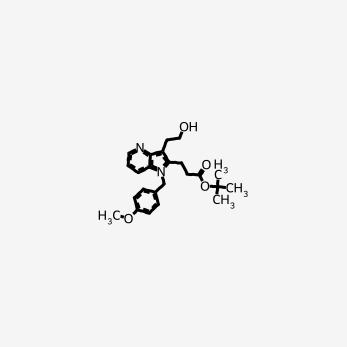 COc1ccc(Cn2c(CCC(=O)OC(C)(C)C)c(CCO)c3ncccc32)cc1